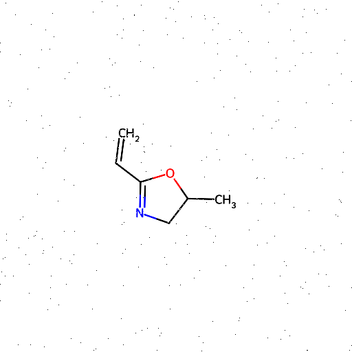 C=CC1=NCC(C)O1